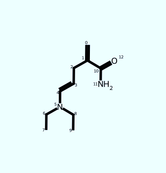 C=C(CC=CN(CC)CC)C(N)=O